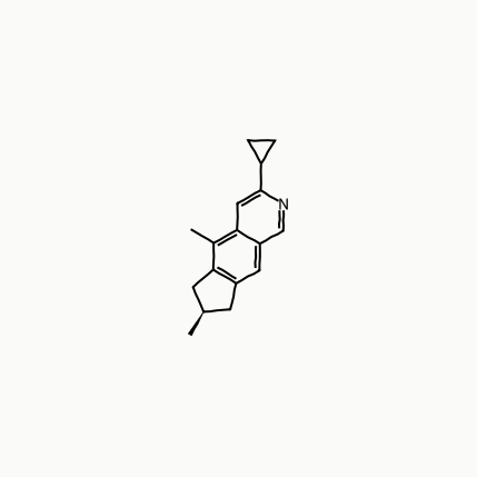 Cc1c2c(cc3cnc(C4CC4)cc13)C[C@@H](C)C2